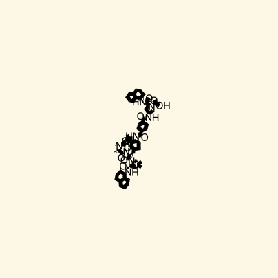 C[C@@H](C(=O)N[C@@H](Cc1ccc(NC(=O)c2ccc(C(=O)NC3CC(C(=O)N[C@@H]4CCCc5ccccc54)N(C(=O)O)C3)cc2)cc1)C(=O)N1C[Si](C)(C)C[C@H]1C(=O)N[C@@H]1CCCc2ccccc21)N(C)C(=O)OC(C)(C)C